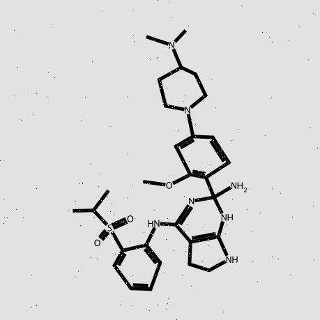 COc1cc(N2CCC(N(C)C)CC2)ccc1C1(N)N=C(Nc2ccccc2S(=O)(=O)C(C)C)C2=C(NCC2)N1